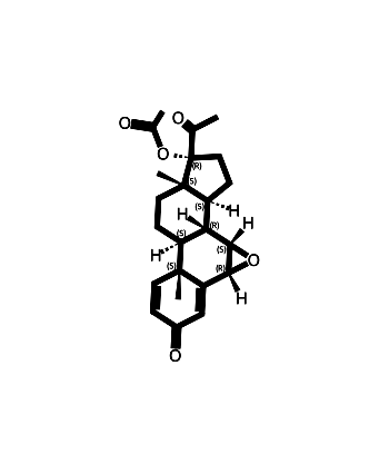 CC(=O)O[C@]1(C(C)=O)CC[C@H]2[C@@H]3[C@@H]4O[C@@H]4C4=CC(=O)C=C[C@]4(C)[C@H]3CC[C@@]21C